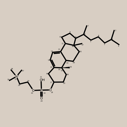 CC(C)CCCC(C)C1CCC2C3=CC=C4CC(OP(=O)(O)OCC[N+](C)(C)C)CC[C@@]4(C)C3CCC21C